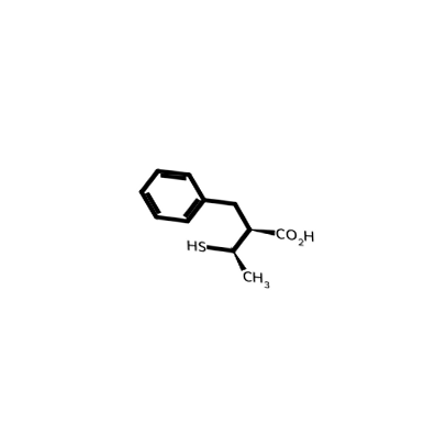 C[C@@H](S)[C@@H](Cc1ccccc1)C(=O)O